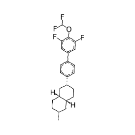 CC1CC[C@@H]2C[C@H](c3ccc(-c4cc(F)c(OC(F)F)c(F)c4)cc3)CC[C@@H]2C1